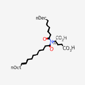 CCCCCCCCC=CCCCCCCCC(=O)N(C(=O)CCCCCCCCCCCCCCC)[C@@H](CCC(=O)O)C(=O)O